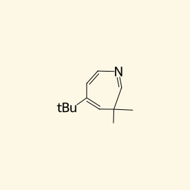 CC1(C)C=NC=CC(C(C)(C)C)=C1